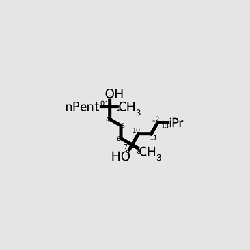 CCCCCC(C)(O)CCCC(C)(O)CCCC(C)C